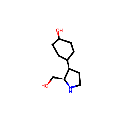 OC[C@@H]1NCC[C@@H]1C1CCC(O)CC1